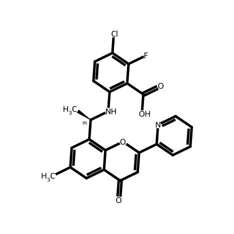 Cc1cc([C@@H](C)Nc2ccc(Cl)c(F)c2C(=O)O)c2oc(-c3ccccn3)cc(=O)c2c1